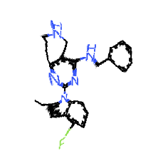 Cc1cc2c(F)cccc2n1-c1nc2c(c(NCc3ccccc3)n1)CNCC2